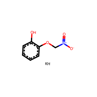 O=[N+]([O-])COc1ccccc1O.[KH]